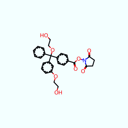 O=C(ON1C(=O)CCC1=O)c1ccc(C(OCCO)(c2ccccc2)c2cccc(OCCO)c2)cc1